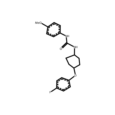 COc1ccc(NC(=O)NC2CCC(Oc3ccc(F)cc3)CC2)cc1